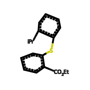 CCOC(=O)c1ccccc1Sc1ccccc1C(C)C